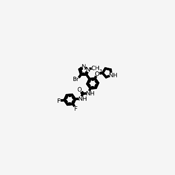 Cn1ncc(Br)c1-c1cc(NC(=O)Nc2ccc(F)cc2F)ccc1OC1CCNC1